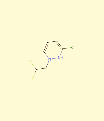 FC(F)CN1C=CC=C(Cl)N1